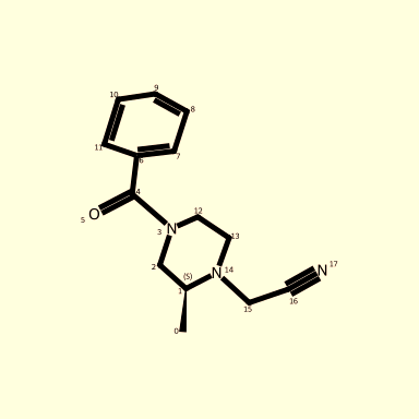 C[C@H]1CN(C(=O)c2ccccc2)CCN1CC#N